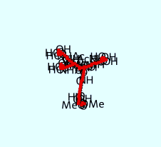 COP(=O)(OC)OC1CCCN(C(=O)[C@H](O)NC(=O)CCCCCCCCCCC(=O)NCCCCCOc2cc(C(=O)NCCNC(=O)CNC(=O)CCCCOC3OC(CO)C(O)C(O)C3NC(C)=O)cc(C(=O)NCCNC(=O)[C@H](CCCCNC(=O)CCCCOC3OC(CO)C(O)C(O)C3NC(C)=O)NC(=O)CCCCOC3OC(CO)C(O)C(O)C3NC(C)=O)c2)C1